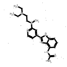 CCN(CC)CCN(C)c1cc(-c2nc3c(OC(N)=O)cccc3[nH]2)ccn1